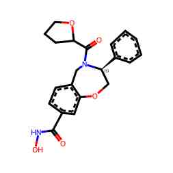 O=C(NO)c1ccc2c(c1)OC[C@H](c1ccccc1)N(C(=O)C1CCCO1)C2